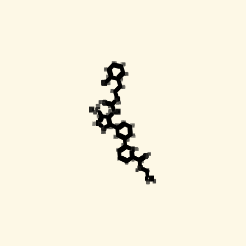 CCOC(=O)c1cccc(-c2cccc(-c3onc(C)c3NC(=O)OCCc3ccccc3Cl)c2)n1